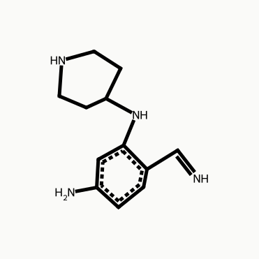 N=Cc1ccc(N)cc1NC1CCNCC1